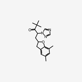 Cc1cc(C)c2c(c1)CC(CC(C(=O)C(C)(C)C)n1cncn1)O2